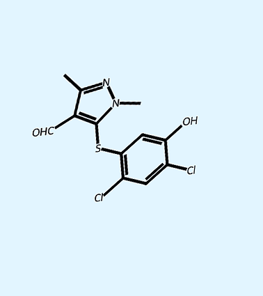 Cc1nn(C)c(Sc2cc(O)c(Cl)cc2Cl)c1C=O